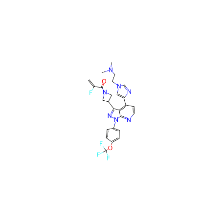 C=C(F)C(=O)N1CC(c2nn(-c3ccc(OC(F)(F)F)cc3)c3nccc(-c4cn(CCN(C)C)cn4)c23)C1